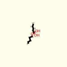 CCCCCOC(O)(O)CCCC